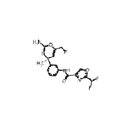 C[C@@]1(c2cccc(NC(=O)c3coc(C(F)F)n3)c2)C=C(CF)OC(N)=N1